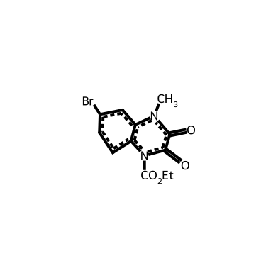 CCOC(=O)n1c(=O)c(=O)n(C)c2cc(Br)ccc21